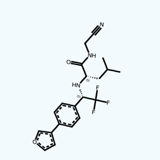 CC(C)C[C@H](N[C@@H](c1ccc(-c2ccoc2)cc1)C(F)(F)F)C(=O)NCC#N